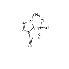 CN1N=CN(C#N)C1C(Cl)(Cl)Cl